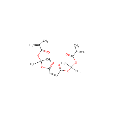 C=C(C)C(=O)OC(C)(C)OC(=O)/C=C\C(=O)OC(C)(C)OC(=O)C(=C)C